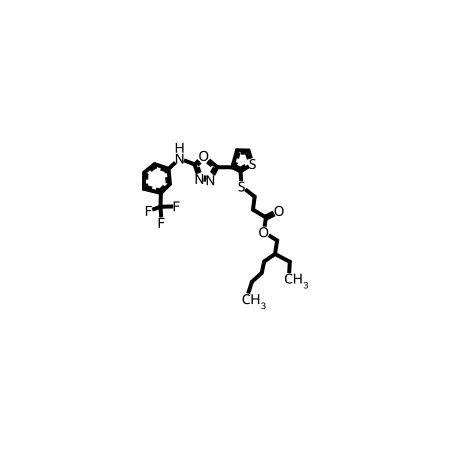 CCCCC(CC)COC(=O)CCSc1sccc1-c1nnc(Nc2cccc(C(F)(F)F)c2)o1